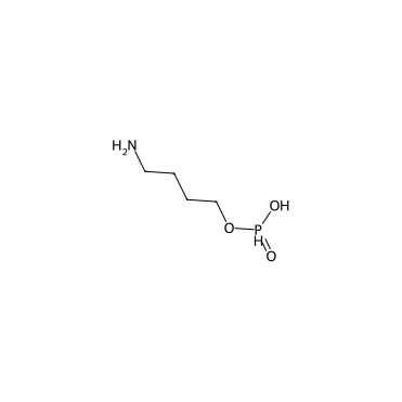 NCCCCO[PH](=O)O